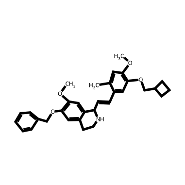 COc1cc2c(cc1OCc1ccccc1)CCNC2/C=C/c1cc(OCC2CCC2)c(OC)cc1C